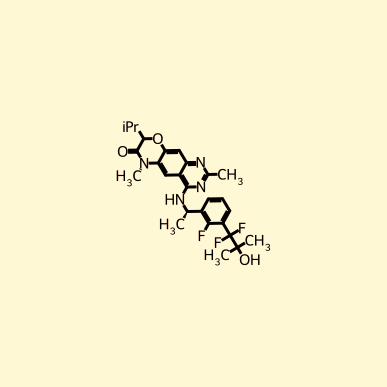 Cc1nc(N[C@H](C)c2cccc(C(F)(F)C(C)(C)O)c2F)c2cc3c(cc2n1)OC(C(C)C)C(=O)N3C